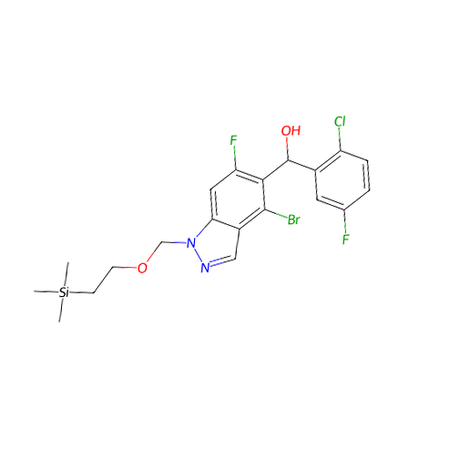 C[Si](C)(C)CCOCn1ncc2c(Br)c(C(O)c3cc(F)ccc3Cl)c(F)cc21